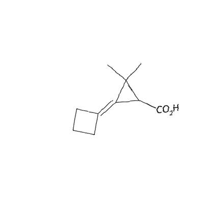 CC1(C)C(=C2CCC2)C1C(=O)O